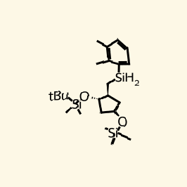 Cc1cccc([SiH2]C[C@H]2CC(O[Si](C)(C)C)C[C@@H]2O[Si](C)(C)C(C)(C)C)c1C